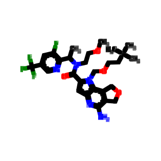 COCCN(C(=O)c1cc2nc(N)c3c(c2n1COCC[Si](C)(C)C)COC3)C(C)c1ncc(C(F)(F)F)cc1F